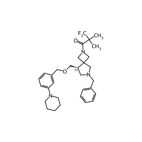 CC(C)(C(=O)N1CC2(CN(Cc3ccccc3)C[C@H]2COCc2cccc(N3CCCCC3)c2)C1)C(F)(F)F